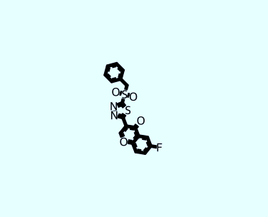 O=c1c(-c2nnc(S(=O)(=O)Cc3ccccc3)s2)coc2ccc(F)cc12